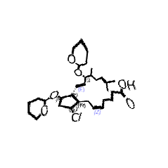 CC(C)=CCC(C)[C@@H](/C=C/[C@@H]1[C@@H](C/C=C\CCCC(=O)O)[C@@H](Cl)C[C@H]1OC1CCCCO1)OC1CCCCO1